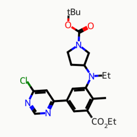 CCOC(=O)c1cc(-c2cc(Cl)ncn2)cc(N(CC)C2CCN(C(=O)OC(C)(C)C)C2)c1C